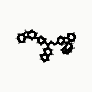 c1ccc2c(c1)-c1ccc(CCC(c3ccc(-c4ccc5sc6ccccc6c5c4)cc3)c3ccc4ccccc4c3)cc1C21C2CC3CC(C2)CC1C3